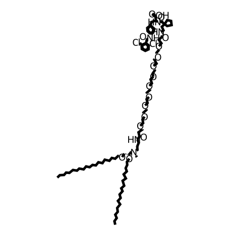 CCCCCCCCCCCCCCCCCCCCOC[C@H](CN(C)CCCNC(=O)CCOCCOCCOCCOCCOCCOCCOCCOCCOCCC(=O)NCCC1(C(=O)NC(Cc2ccc(NC(=O)c3c(Cl)cccc3Cl)cc2)C(=O)O)CCCC1)OCCCCCCCCCCCCCCCCCCCC